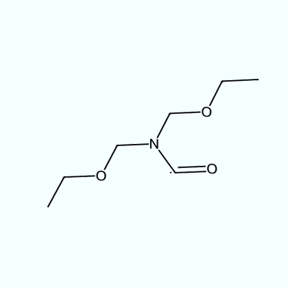 CCOCN([C]=O)COCC